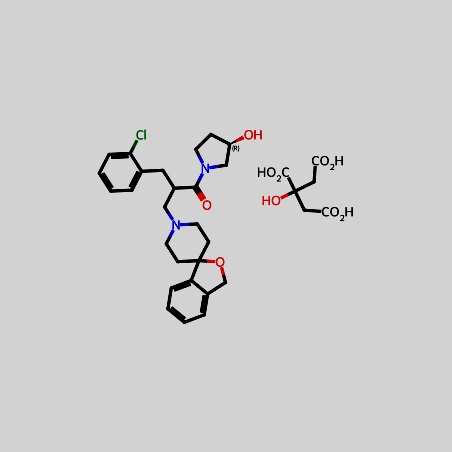 O=C(C(Cc1ccccc1Cl)CN1CCC2(CC1)OCc1ccccc12)N1CC[C@@H](O)C1.O=C(O)CC(O)(CC(=O)O)C(=O)O